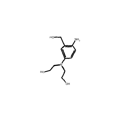 Nc1ccc(N(CCO)CCO)cc1CO